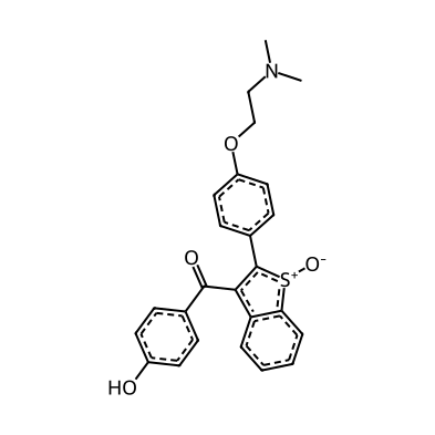 CN(C)CCOc1ccc(-c2c(C(=O)c3ccc(O)cc3)c3ccccc3[s+]2[O-])cc1